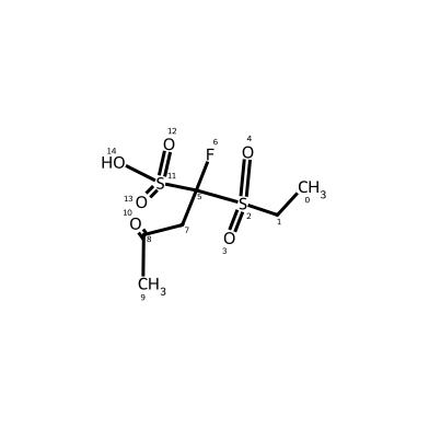 CCS(=O)(=O)C(F)(CC(C)=O)S(=O)(=O)O